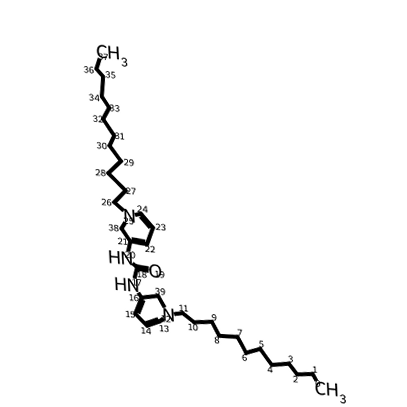 CCCCCCCCCCCCN1C=CC=C(NC(=O)NC2=CC=CN(CCCCCCCCCCCC)C2)C1